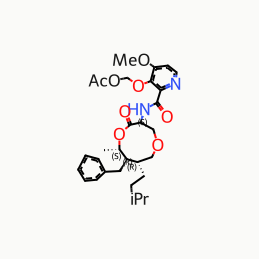 COc1ccnc(C(=O)N[C@H]2COC[C@H](CCC(C)C)[C@@H](Cc3ccccc3)[C@H](C)OC2=O)c1OCOC(C)=O